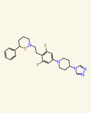 Fc1cc(N2CCC(n3cnnc3)CC2)cc(F)c1CCN1CCCC(c2ccccc2)S1